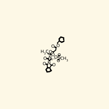 CCC1(N2C(=O)[C@@H](N3C(=O)c4ccccc4C3=O)[C@H]2COS(C)(=O)=O)OC(CC(=O)OCc2ccccc2)O1